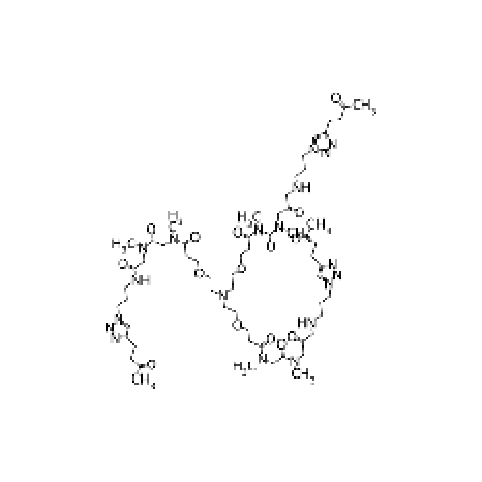 CC(=O)CCc1cn(CCCNCC(=O)CN(C)C(=O)CN(C)C(=O)CCOCCN(CCOCCC(=O)N(C)CC(=O)N(C)CC(=O)NCCCn2cc(CCC(C)=O)nn2)CCOCCC(=O)N(C)C(=O)N(C)CC(=O)CNCCCn2cc(CCC(C)=O)nn2)nn1